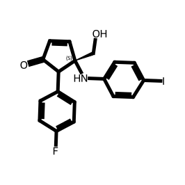 O=C1C=C[C@](CO)(Nc2ccc(I)cc2)C1c1ccc(F)cc1